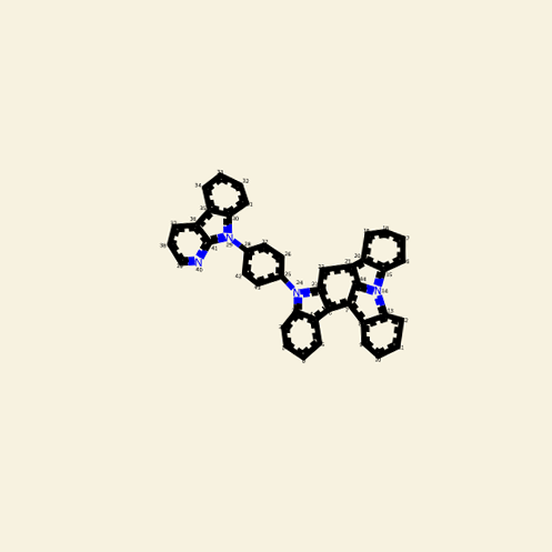 c1ccc2c(c1)c1c3c4ccccc4n4c5ccccc5c(cc1n2-c1ccc(-n2c5ccccc5c5cccnc52)cc1)c34